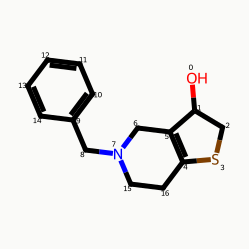 OC1CSC2=C1CN(Cc1ccccc1)CC2